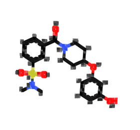 CN(C)S(=O)(=O)c1cccc(C(=O)N2CCC(Oc3cccc(O)c3)CC2)c1